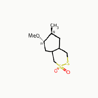 CO[C@H]1CC2CS(=O)(=O)SCC2C[C@@H]1C